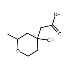 CC1CC(O)(CC(=O)O)CCO1